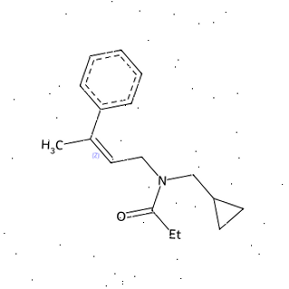 CCC(=O)N(C/C=C(/C)c1ccccc1)CC1CC1